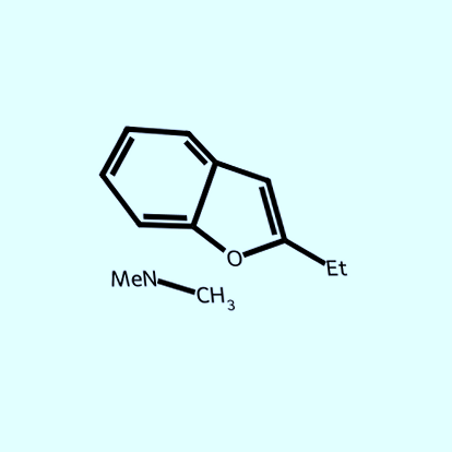 CCc1cc2ccccc2o1.CNC